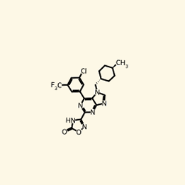 C[C@H]1CC[C@H](Cn2cnc3nc(-c4noc(=O)[nH]4)nc(-c4cc(Cl)cc(C(F)(F)F)c4)c32)CC1